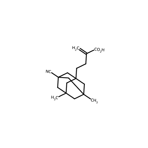 C=C(CCC12CC3(C)CC(C)(CC(C#N)(C3)C1)C2)C(=O)O